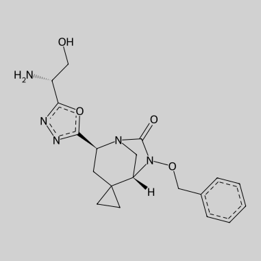 N[C@H](CO)c1nnc([C@@H]2CC3(CC3)[C@@H]3CN2C(=O)N3OCc2ccccc2)o1